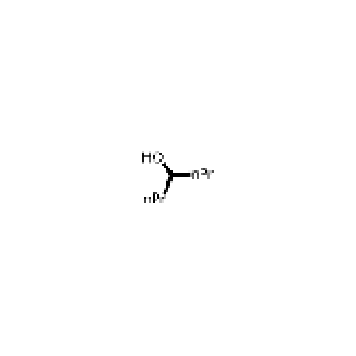 CCC[C](O)CCC